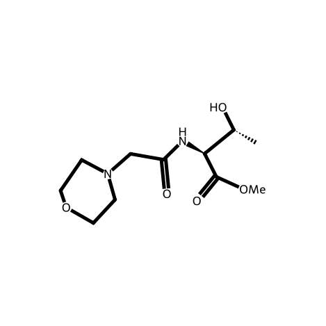 COC(=O)[C@@H](NC(=O)CN1CCOCC1)[C@@H](C)O